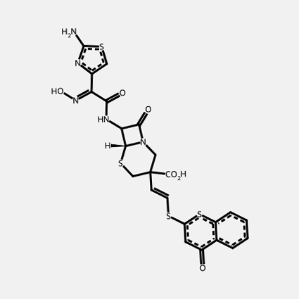 Nc1nc(C(=NO)C(=O)NC2C(=O)N3CC(C=CSc4cc(=O)c5ccccc5s4)(C(=O)O)CS[C@H]23)cs1